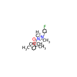 CC(C)c1cccc(C(C)C)c1OCC(=O)N1C[C@H](C)N(Cc2ccc(F)cc2)C[C@H]1C